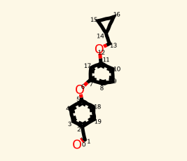 O=Cc1ccc(Oc2cccc(OCC3CC3)c2)cc1